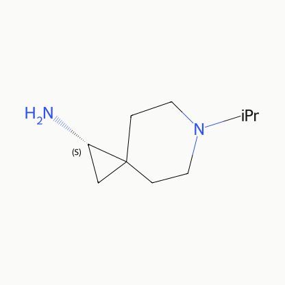 CC(C)N1CCC2(CC1)C[C@@H]2N